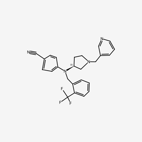 N#Cc1ccc(N(Cc2ccccc2C(F)(F)F)[C@H]2CCN(Cc3cccnc3)C2)cc1